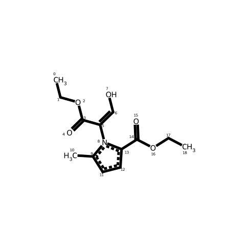 CCOC(=O)C(=CO)n1c(C)ccc1C(=O)OCC